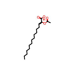 CCCCCCCCCCCCC/C=C(\OC(C)=O)C(=O)O